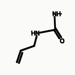 C=CCNC([NH])=O